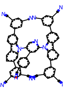 N#Cc1ccc(-c2cc(-n3c4cc(-c5cc(C#N)cc(C#N)c5)ccc4c4ccc(-c5cc(C#N)cc(C#N)c5)cc43)ncc2-n2c3cc(-c4cc(C#N)cc(C#N)c4)ccc3c3ccc(-c4cc(C#N)cc(C#N)c4)cc32)cc1